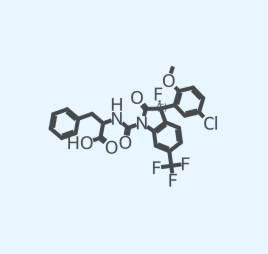 COc1ccc(Cl)cc1[C@]1(F)C(=O)N(C(=O)NC(Cc2ccccc2)C(=O)O)c2cc(C(F)(F)F)ccc21